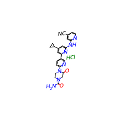 Cl.N#Cc1ccnc(Nc2cc(C3CC3)cc(-c3ccc(N4CCN(C(N)=O)CC4=O)nc3)n2)c1